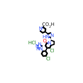 Cl.O=C(O)c1cc(-c2cnc([C@@H]3CCc4c(Cl)c(-c5cc(Cl)ccc5-n5cnnn5)cc(=O)n43)[nH]2)ccn1